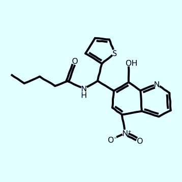 CCCCC(=O)NC(c1cccs1)c1cc([N+](=O)[O-])c2cccnc2c1O